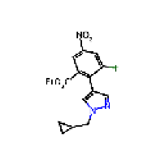 CCOC(=O)c1cc([N+](=O)[O-])cc(F)c1-c1cnn(CC2CC2)c1